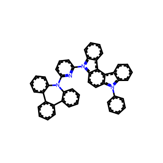 c1ccc(-n2c3ccccc3c3c4c5ccccc5n(-c5cccc(N6c7ccccc7-c7ccccc7-c7ccccc76)n5)c4ccc32)cc1